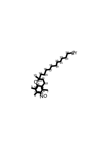 Cc1c(C)c2c(c(C)c1N=O)CCC(C)(CCCCCCCCCCCC(C)C)O2